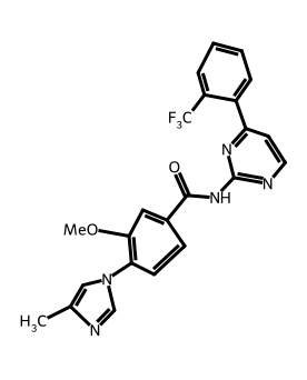 COc1cc(C(=O)Nc2nccc(-c3ccccc3C(F)(F)F)n2)ccc1-n1cnc(C)c1